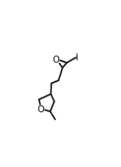 CC1CC(CCC2OC2I)CO1